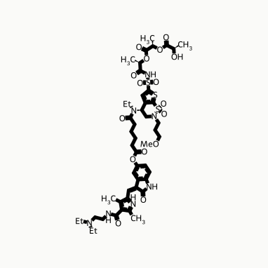 CCN(CC)CCNC(=O)c1c(C)[nH]c(/C=C2\C(=O)Nc3ccc(OC(=O)CCCCC(=O)N(CC)[C@H]4CN(CCCOC)S(=O)(=O)c5sc(S(=O)(=O)NC(=O)[C@H](C)OC(=O)[C@H](C)OC(=O)[C@H](C)O)cc54)cc32)c1C